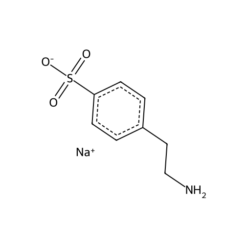 NCCc1ccc(S(=O)(=O)[O-])cc1.[Na+]